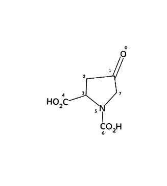 O=C1CC(C(=O)O)N(C(=O)O)C1